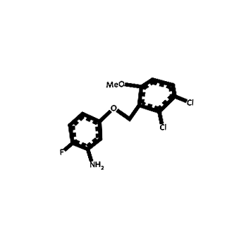 COc1ccc(Cl)c(Cl)c1COc1ccc(F)c(N)c1